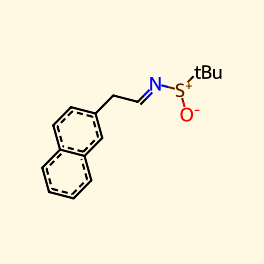 CC(C)(C)[S+]([O-])N=CCc1ccc2ccccc2c1